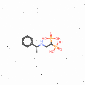 C[C@H](NCC(P(=O)(O)O)P(=O)(O)O)c1ccccc1